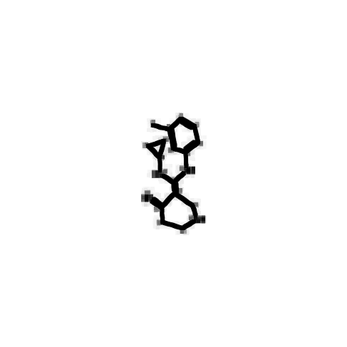 Cc1cccc(N/C(NC2CC2)=C2\CNCCC2=N)c1